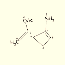 C=COC(C)=O.[SiH3]C1=CCC1